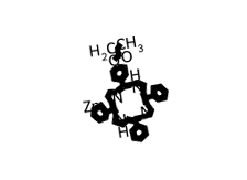 C=C(C)C(=O)Oc1ccc(-c2c3nc(c(-c4ccccc4)c4ccc([nH]4)c(-c4ccccc4)c4nc(c(-c5ccccc5)c5ccc2[nH]5)C=C4)C=C3)cc1.[Zn]